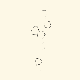 COc1cccc(CCNCCc2cc(-c3cc(F)cc(CCC(=O)O)c3)c3cc(F)ccc3c2)c1.Cl